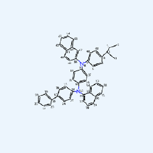 CCC(C)c1ccc(N(c2ccc(N(c3ccc(-c4ccccc4)cc3)c3cccc4ccccc34)cc2)c2ccc3ccccc3c2)cc1